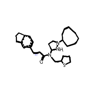 O=C(/C=C/c1ccc2c(c1)CCC2)N(CC1CCCS1)C1CCN(C2CCCCCCC2)N1